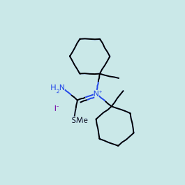 CSC(N)=[N+](C1(C)CCCCC1)C1(C)CCCCC1.[I-]